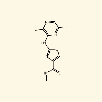 CNC(=O)c1coc(Nc2nc(C)cnc2C)n1